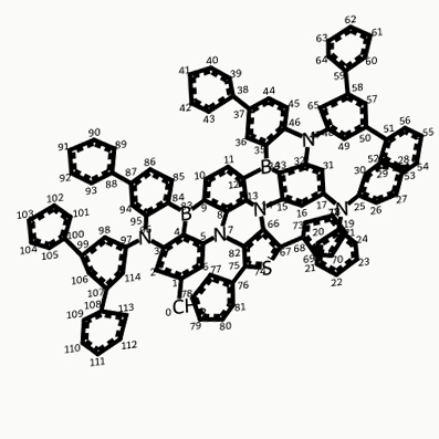 Cc1cc2c3c(c1)N1c4c(ccc5c4N(c4cc(N(c6ccccc6)c6ccccc6)cc6c4B5c4cc(-c5ccccc5)ccc4N6c4cc(-c5ccccc5)cc(-c5ccccc5)c4)c4c(-c5ccccc5)sc(-c5ccccc5)c41)B3c1ccc(-c3ccccc3)cc1N2c1cc(-c2ccccc2)cc(-c2ccccc2)c1